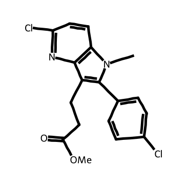 COC(=O)CCc1c(-c2ccc(Cl)cc2)n(C)c2ccc(Cl)nc12